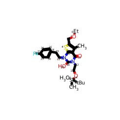 CCOCc1sc2c(c1C)C(=O)N(CCO[Si](C)(C)C(C)(C)C)C(O)N2CCc1ccc(F)cc1